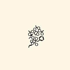 C#C[C@@]1(OC(C)=O)[C@@H](COC(Cc2ccccc2)(C(=O)OC=CC)C(=O)OCC)OC(OC(C)=O)[C@@H]1OC(C)=O